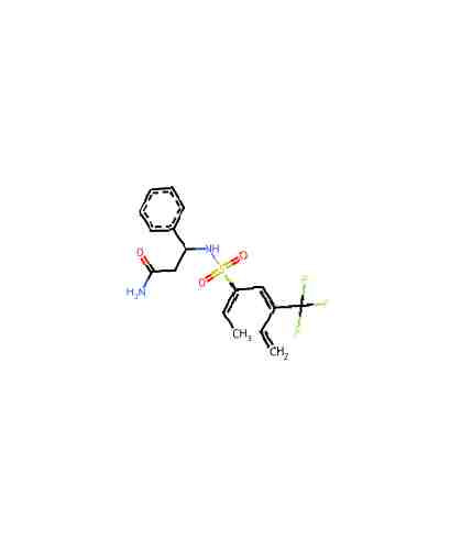 C=CC(=CC(=CC)S(=O)(=O)NC(CC(N)=O)c1ccccc1)C(F)(F)F